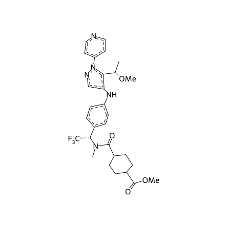 COC(=O)C1CCC(C(=O)N(C)[C@@H](c2ccc(Nc3cnn(-c4ccncc4)c3[C@H](C)OC)cc2)C(F)(F)F)CC1